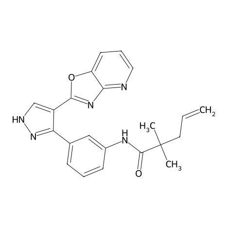 C=CCC(C)(C)C(=O)Nc1cccc(-c2n[nH]cc2-c2nc3ncccc3o2)c1